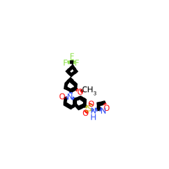 COC1=C(n2c(=O)ccc3cc(S(=O)(=O)Nc4ccon4)ccc32)CCC([C@H]2C[C@H](C(F)(F)F)C2)=C1